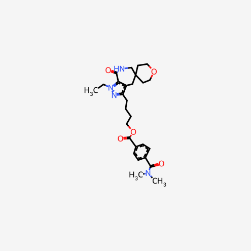 CCn1nc(CCCCOC(=O)c2ccc(C(=O)N(C)C)cc2)c2c1C(=O)NCC1(CCOCC1)C2